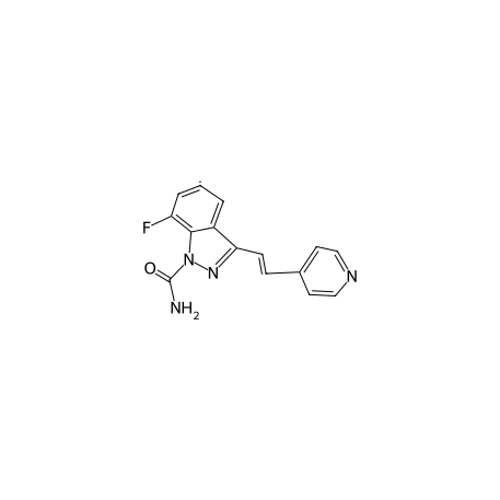 NC(=O)n1nc(/C=C/c2ccncc2)c2c[c]cc(F)c21